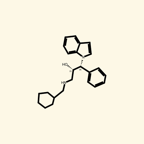 O[C@@H](CNCC1CCCCC1)[C@@H](c1ccccc1)n1ccc2ccccc21